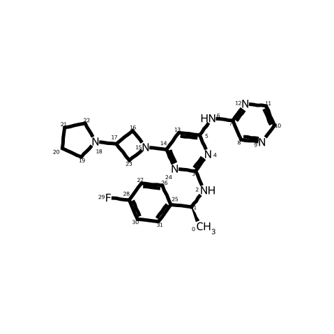 C[C@H](Nc1nc(Nc2cnccn2)cc(N2CC(N3CCCC3)C2)n1)c1ccc(F)cc1